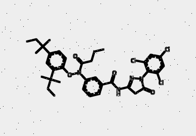 CCCC(=O)N(Oc1ccc(C(C)(C)CC)cc1C(C)(C)CC)c1cccc(C(=O)NC2=NN(c3c(Cl)cc(Cl)cc3Cl)C(=O)C2)c1